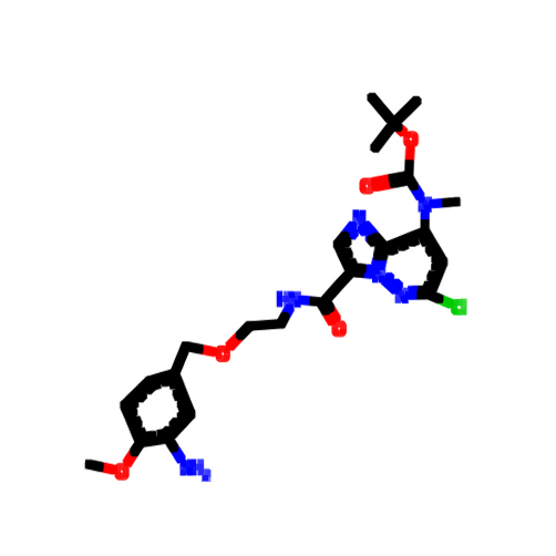 COc1ccc(COCCNC(=O)c2cnc3c(N(C)C(=O)OC(C)(C)C)cc(Cl)nn23)cc1N